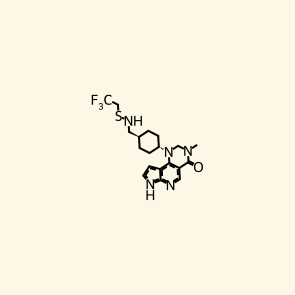 CN1CN([C@H]2CC[C@H](CNSCC(F)(F)F)CC2)c2c(cnc3[nH]ccc23)C1=O